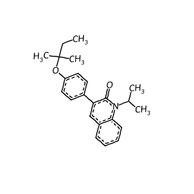 CCC(C)(C)Oc1ccc(-c2cc3ccccc3n(C(C)C)c2=O)cc1